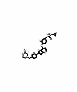 CC1CN(Cc2ccc(-c3cc4nccc(Oc5ccc(NC(=O)NC6CC6)cc5F)c4s3)nc2)CCN1